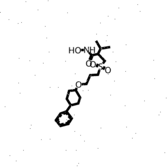 CC(C)C(CS(=O)(=O)CCCOC1CCC(c2ccccc2)CC1)C(=O)NO